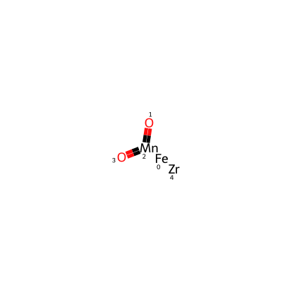 [Fe].[O]=[Mn]=[O].[Zr]